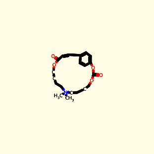 C[N+]1(C)CCCCOC(=O)/C=C\c2ccc(cc2)OC(=O)OCCCC1